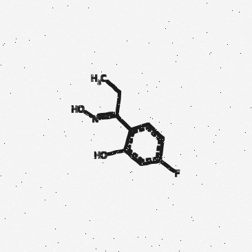 CCC(=NO)c1ccc(F)cc1O